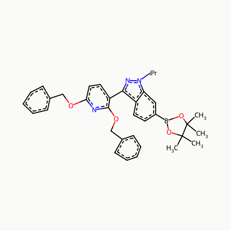 CC(C)n1nc(-c2ccc(OCc3ccccc3)nc2OCc2ccccc2)c2ccc(B3OC(C)(C)C(C)(C)O3)cc21